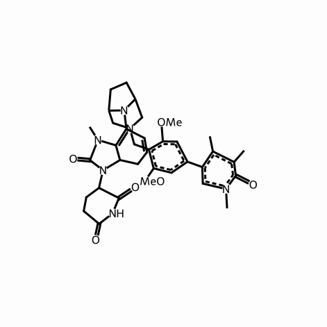 COc1cc(-c2cn(C)c(=O)c(C)c2C)cc(OC)c1CN1CC2CCC(C1)N2C1=C2C(CC=C1)N(C1CCC(=O)NC1=O)C(=O)N2C